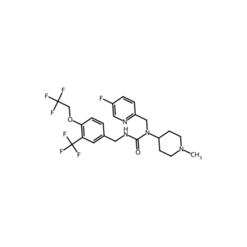 CN1CCC(N(Cc2ccc(F)cn2)C(=O)NCc2ccc(OCC(F)(F)F)c(C(F)(F)F)c2)CC1